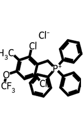 Cc1c(OC(F)(F)F)cc(Cl)c(C[P+](c2ccccc2)(c2ccccc2)c2ccccc2)c1Cl.[Cl-]